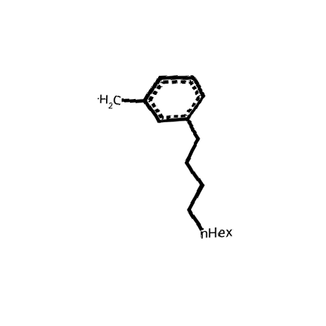 [CH2]c1cccc(CCCCCCCCCC)c1